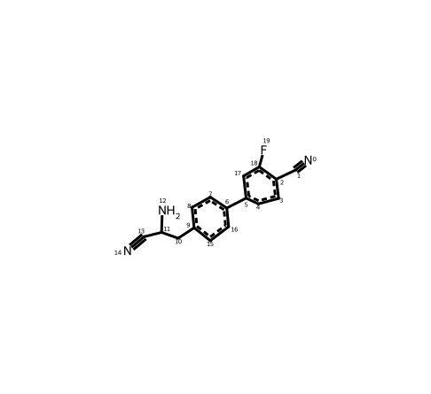 N#Cc1ccc(-c2ccc(CC(N)C#N)cc2)cc1F